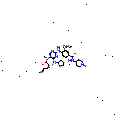 CC=CCC1CN(C2CCCC2)c2nc(Nc3ccc(C(=O)NC4CCN(C)CC4)cc3OC)ncc2N(C)C1=O